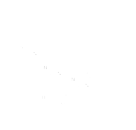 Cc1cc(N2CCN(C(=O)c3ccccc3)CC2)nc2c1c(=O)cc(N(C(=O)c1ccccc1)c1ccccc1)n2-c1ccccc1